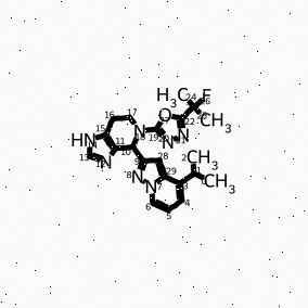 CC(C)c1cccn2nc(C3c4nc[nH]c4CCN3c3nnc(C(C)(C)F)o3)cc12